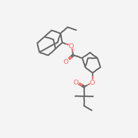 CCC(C)(C)C(=O)OC1CC2CC(C(=O)OC3C4CC5CC(C4)CC3(CC)C5)C1C2